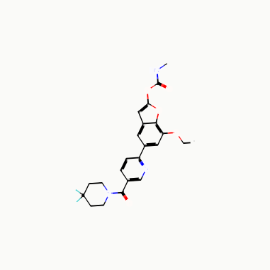 [3H]COc1cc(-c2ccc(C(=O)N3CCC(F)(F)CC3)cn2)cc2cc(OC(=O)NC)oc12